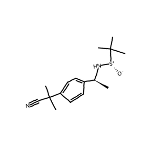 C[C@H](N[S@@+]([O-])C(C)(C)C)c1ccc(C(C)(C)C#N)cc1